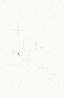 CO[C@](CCCCO)(c1cccc(OC(F)(F)F)c1)[C@@H]1CCCNC1